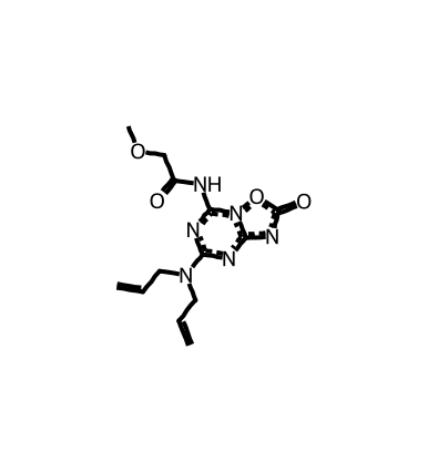 C=CCN(CC=C)c1nc(NC(=O)COC)n2oc(=O)nc2n1